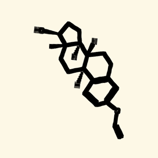 C=COc1ccc2c(c1)CC[C@@H]1[C@@H]2CC[C@]2(C)[C@@H](O)CC[C@@H]12